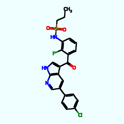 CCCS(=O)(=O)Nc1cccc(C(=O)c2c[nH]c3ncc(-c4ccc(Cl)cc4)cc23)c1F